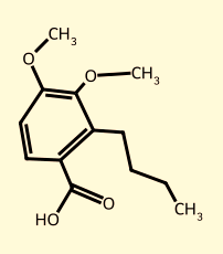 CCCCc1c(C(=O)O)ccc(OC)c1OC